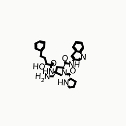 NC[C@@]1(NC(=O)[C@H](O)CCc2ccccc2)C[C@@H](C(=O)Nc2cnc3ccccc3c2)N(C(=O)[C@@H]2CCCN2)C1